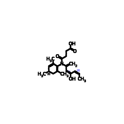 C=C(/C=C(O)\C=C/C)N(C(=O)CCC(=O)O)C1=C(C)C[C@@H](C)C=C1C